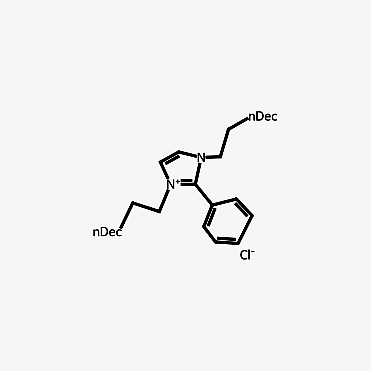 CCCCCCCCCCCCn1cc[n+](CCCCCCCCCCCC)c1-c1ccccc1.[Cl-]